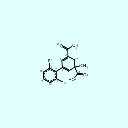 CC1(C(=O)O)C=C(c2c(F)cccc2I)C=C(C(=O)O)C1